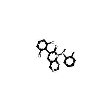 Cc1ccccc1N(C)n1c(=O)c(-c2c(Cl)cccc2Cl)cc2cncnc21